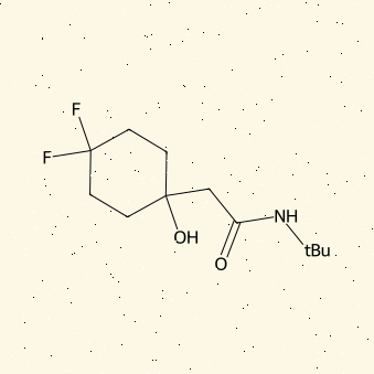 CC(C)(C)NC(=O)CC1(O)CCC(F)(F)CC1